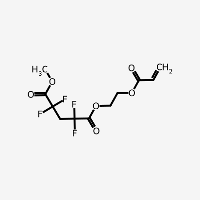 C=CC(=O)OCCOC(=O)C(F)(F)CC(F)(F)C(=O)OC